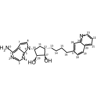 Nc1ncnc2c1ccn2[C@@H]1C[C@H](CCCCc2ccc3cccnc3c2)[C@@H](O)[C@H]1O